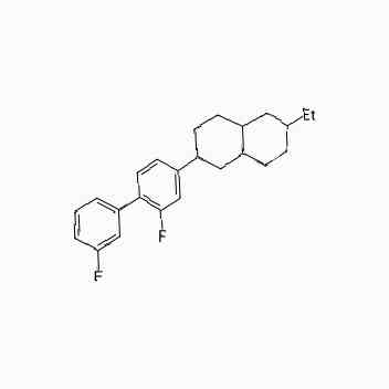 CCC1CCC2CC(c3ccc(-c4cccc(F)c4)c(F)c3)CCC2C1